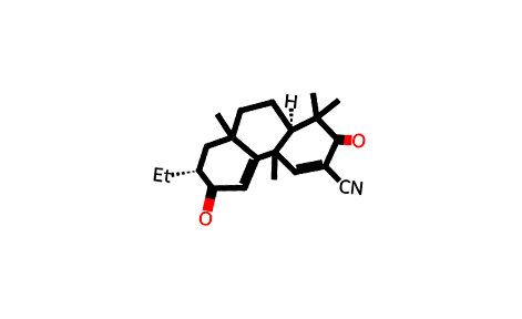 CC[C@@H]1CC2(C)CC[C@H]3C(C)(C)C(=O)C(C#N)=CC3(C)C2=CC1=O